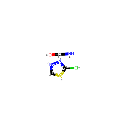 Clc1nncs1.N=C=O